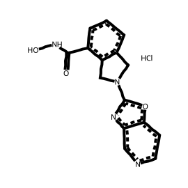 Cl.O=C(NO)c1cccc2c1CN(c1nc3cnccc3o1)C2